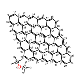 C[Si](C)(C)O[Si](C)(C)C.c1cc2cc3cc4cc5ccc6cc7cc8cc9cccc%10cc%11cc%12cc%13ccc%14cc%15cc%16cc(c1)c2c1c3c2c4c3c5c6c4c7c5c8c(c9%10)c%11c6c%12c7c%13c%14c8c%15c(c%161)c2c1c3c4c(c56)c7c81